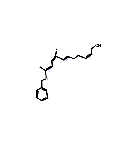 C\C(=C/C=C(F)\C=C\CC/C=C\CO)OCc1ccccc1